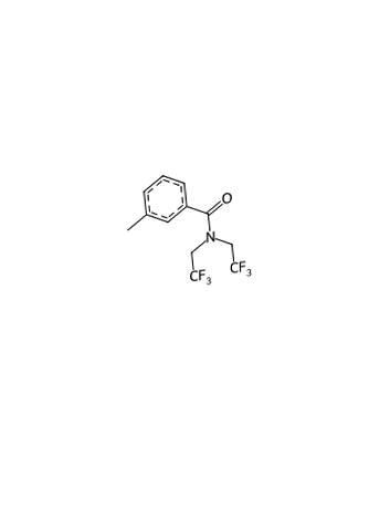 Cc1cccc(C(=O)N(CC(F)(F)F)CC(F)(F)F)c1